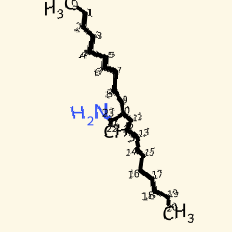 CCCCCCCCCCC(CCCCCCCCCC)C(C)N